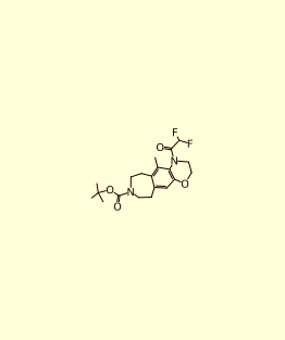 Cc1c2c(cc3c1N(C(=O)C(F)F)CCO3)CCN(C(=O)OC(C)(C)C)CC2